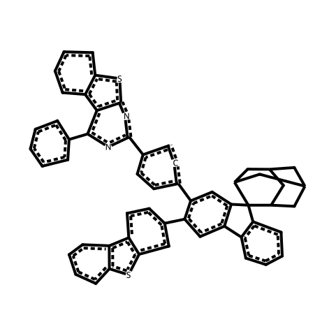 c1ccc(-c2nc(-c3ccc(-c4cc5c(cc4-c4ccc6c(c4)sc4ccccc46)-c4ccccc4C54C5CC6CC(C5)CC4C6)cc3)nc3sc4ccccc4c23)cc1